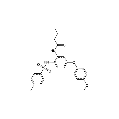 CCCC(=O)Nc1cc(Oc2ccc(OC)cc2)ccc1NS(=O)(=O)c1ccc(C)cc1